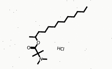 CCCCCCCCCCCC(C)OC(=O)C(C)(C)N(C)C.Cl